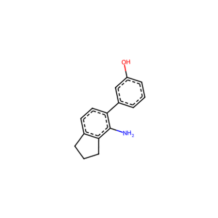 Nc1c(-c2cccc(O)c2)ccc2c1CCC2